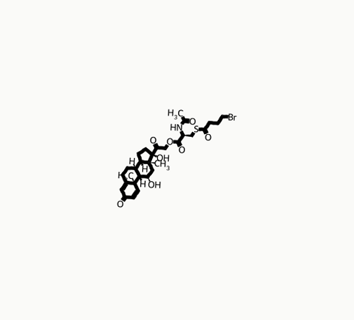 CC(=O)N[C@@H](CSC(=O)CCCBr)C(=O)OCC(=O)[C@@]1(O)CC[C@H]2[C@@H]3CCC4=CC(=O)C=C[C@]4(C)[C@H]3[C@@H](O)C[C@@]21C